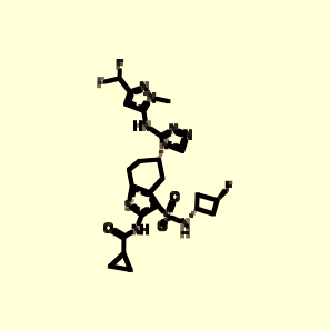 Cn1nc(C(F)F)cc1Nc1nncn1[C@H]1CCc2sc(NC(=O)C3CC3)c(S(=O)(=O)N[C@H]3C[C@H](F)C3)c2C1